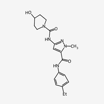 CCc1ccc(NC(=O)c2cc(NC(=O)N3CCC(O)CC3)nn2C)cc1